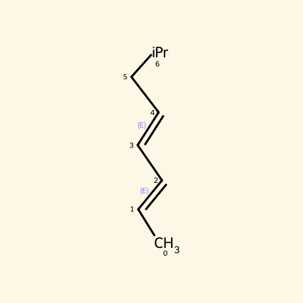 C/C=C/C=C/CC(C)C